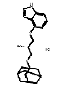 Cl.O[C@@H](CNC12CC3CC(CC(C3)C1)C2)COc1cccc2[nH]ccc12